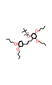 CCCCOc1cc(OCCCC)c(C/C=C/c2ccc(OCCCC)c(OCCCC)c2)c(O[Si](C)(C)C(C)(C)C)c1